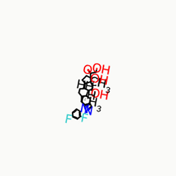 C[C@]12Cc3cnn(-c4ccc(F)cc4F)c3C=C1CC[C@@H]1[C@@H]2[C@@H](O)C[C@@]2(C)[C@H]1CCC2(O)C(=O)CO